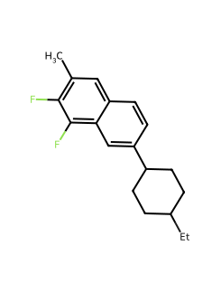 CCC1CCC(c2ccc3cc(C)c(F)c(F)c3c2)CC1